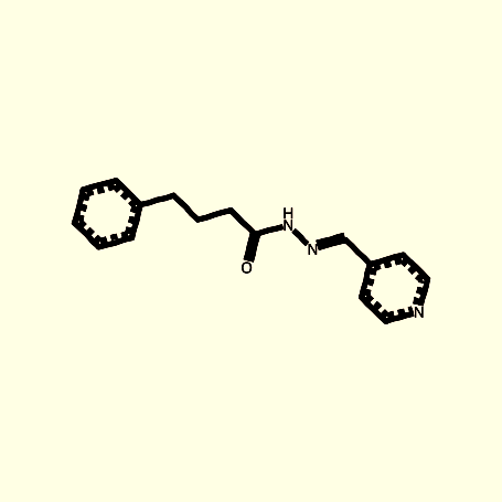 O=C(CCCc1ccccc1)NN=Cc1ccncc1